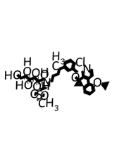 CCS(=O)(=O)CCN(CCCC(C)c1ccc(Cl)c(COC2(c3cnccc3-c3ccccc3OC3CC3)CC2)c1)C(=O)[C@@H](O)[C@@H](O)[C@H](O)[C@@H](O)CO